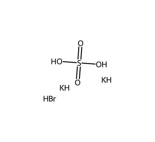 Br.O=S(=O)(O)O.[KH].[KH]